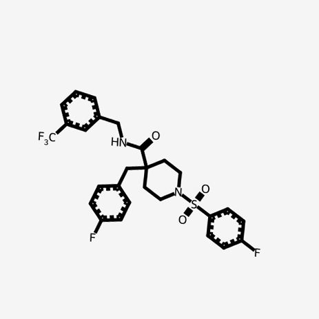 O=C(NCc1cccc(C(F)(F)F)c1)C1(Cc2ccc(F)cc2)CCN(S(=O)(=O)c2ccc(F)cc2)CC1